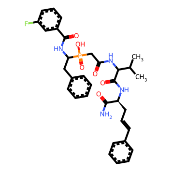 CC(C)C(NC(=O)CP(=O)(O)C(Cc1ccccc1)NC(=O)c1cccc(F)c1)C(=O)N[C@@H](CC=Cc1ccccc1)C(N)=O